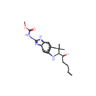 CCCCC(=O)C1Nc2cc3nc(NC(=O)OC)[nH]c3cc2C1(C)C